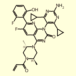 C=CC(=O)N1C[C@H](C)N(c2nc(=O)n(-c3c(C4CC4)nc(N)nc3C3CC3)c3nc(-c4c(O)cccc4F)c(F)cc23)C[C@H]1C